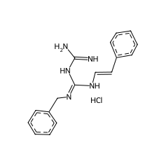 Cl.N=C(N)NC(=NCc1ccccc1)NC=Cc1ccccc1